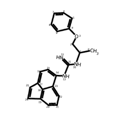 CC(COc1ccccc1)NC(=N)Nc1ccc2c3c(cccc13)C=C2